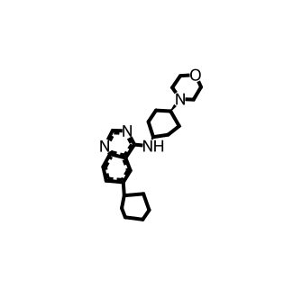 c1nc(N[C@H]2CC[C@H](N3CCOCC3)CC2)c2cc(C3CCCCC3)ccc2n1